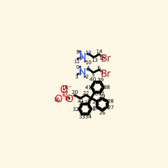 C[N+](C)(C)CCCBr.C[N+](C)(C)CCCBr.[O-]B([O-])OCCCC(c1ccccc1)(c1ccccc1)c1ccccc1